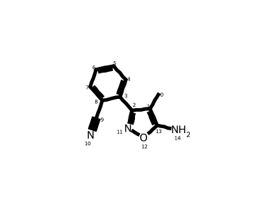 Cc1c(-c2ccccc2C#N)noc1N